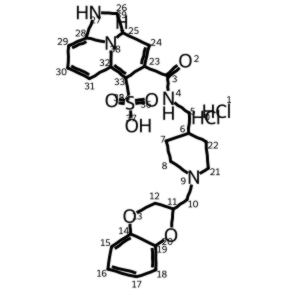 Cl.Cl.O=C(NCC1CCN(CC2COc3ccccc3O2)CC1)C1=C[C@H]2CNC3=CC=CC(=C1S(=O)(=O)O)N32